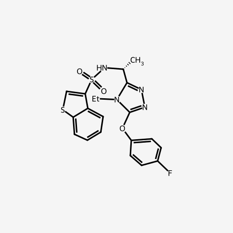 CCn1c(Oc2ccc(F)cc2)nnc1[C@@H](C)NS(=O)(=O)c1csc2ccccc12